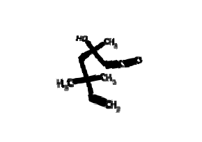 C=CC(C)(C)CC(C)(O)C=C=O